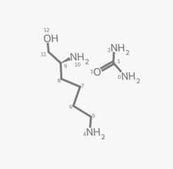 NC(N)=O.NCCCC[C@H](N)CO